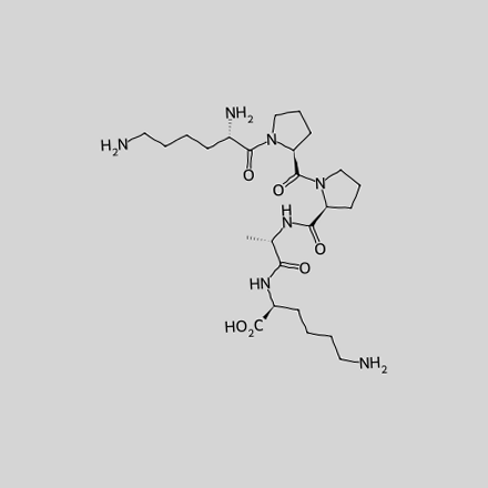 C[C@H](NC(=O)[C@@H]1CCCN1C(=O)[C@@H]1CCCN1C(=O)[C@@H](N)CCCCN)C(=O)N[C@@H](CCCCN)C(=O)O